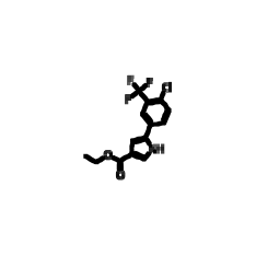 CCOC(=O)c1c[nH]c(-c2ccc(Cl)c(C(F)(F)F)c2)c1